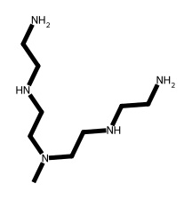 CN(CCNCCN)CCNCCN